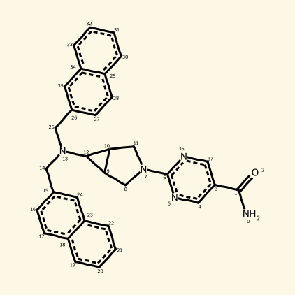 NC(=O)c1cnc(N2CC3C(C2)C3N(Cc2ccc3ccccc3c2)Cc2ccc3ccccc3c2)nc1